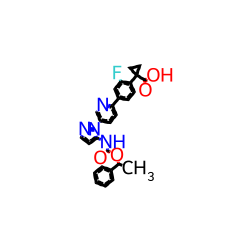 CC(OC(=O)Nc1ccnn1-c1ccc(-c2ccc(C3(C(=O)O)CC3)c(F)c2)nc1)c1ccccc1